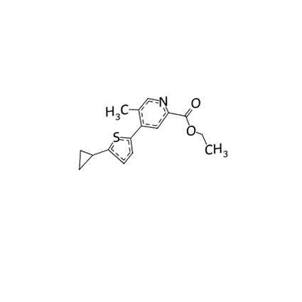 CCOC(=O)c1cc(-c2ccc(C3CC3)s2)c(C)cn1